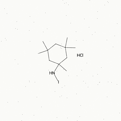 CC1(C)CC(C)(C)CC(C)(NI)C1.Cl